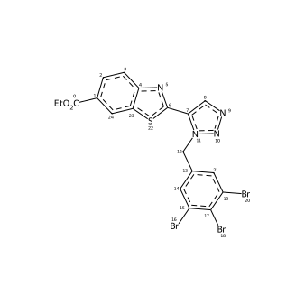 CCOC(=O)c1ccc2nc(-c3cnnn3Cc3cc(Br)c(Br)c(Br)c3)sc2c1